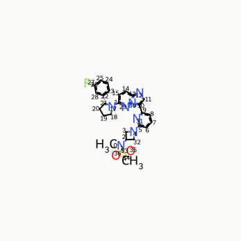 CN(C1CN(c2cccc(-c3cnc4ccc(N5CCC[C@@H]5c5cccc(F)c5)nn34)n2)C1)S(C)(=O)=O